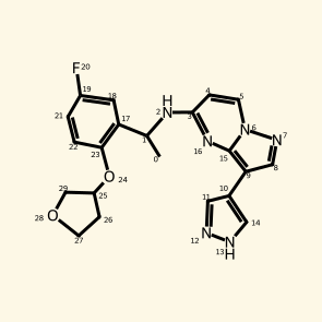 CC(Nc1ccn2ncc(-c3cn[nH]c3)c2n1)c1cc(F)ccc1OC1CCOC1